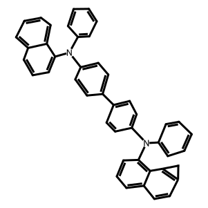 c1ccc(N(c2ccc(-c3ccc(N(c4ccccc4)c4cccc5ccc6c(c45)C6)cc3)cc2)c2cccc3ccccc23)cc1